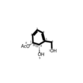 CC(=O)O[C@@H]1C=CC=C(CO)[C@@H]1O